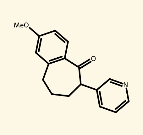 COc1ccc2c(c1)CCCC(c1cccnc1)C2=O